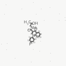 C[C@@H](O)CNC(=O)c1cn(-c2ccc(F)cc2)c2ncccc2c1=O